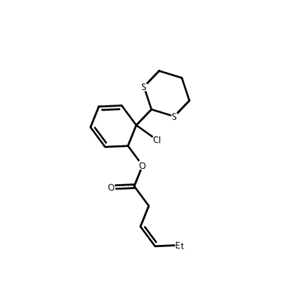 CC/C=C\CC(=O)OC1C=CC=CC1(Cl)C1SCCCS1